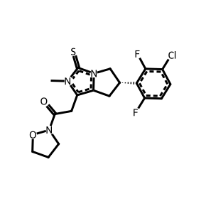 Cn1c(CC(=O)N2CCCO2)c2n(c1=S)C[C@H](c1c(F)ccc(Cl)c1F)C2